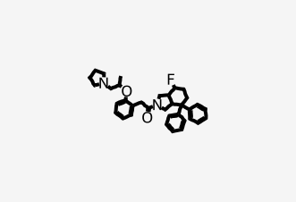 CC(CN1CCCC1)Oc1ccccc1CC(=O)N1CC2C(F)CCC(c3ccccc3)(c3ccccc3)C2C1